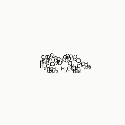 CC(C)(C)CC(C)(C)c1ccc2c(c1)C(c1cc(C(C)(C)CC(C)(C)C)ccc1OP1(=O)OCC3(CO1)COP(=O)(Oc1ccc(C(C)(C)CC(C)(C)C)cc1C1C(=O)Oc4ccc(C(C)(C)CC(C)(C)C)cc41)OC3)C(=O)O2